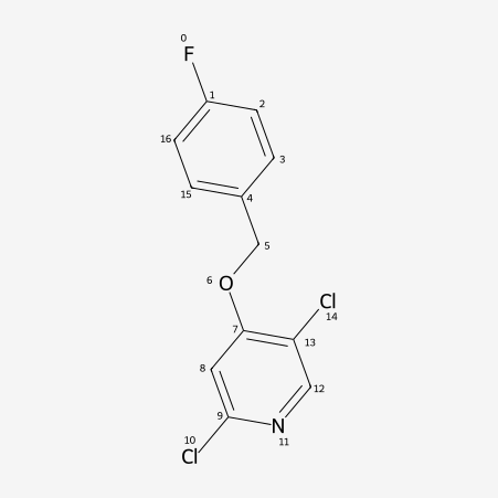 Fc1ccc(COc2cc(Cl)ncc2Cl)cc1